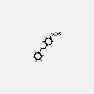 S=C=Nc1ccc(C=Cc2ccccc2)cc1